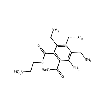 BCc1c(B)c(C(=O)OC)c(C(=O)OCCS(=O)(=O)O)c(CB)c1CB